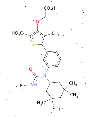 CCNC(=O)N(c1cccc(-c2sc(C(=O)O)c(OCC(=O)O)c2C)c1)C1CC(C)(C)CC(C)(C)C1